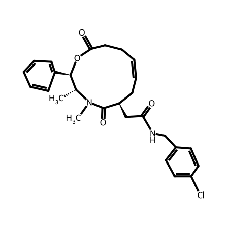 C[C@@H]1[C@@H](c2ccccc2)OC(=O)CCC=CC[C@@H](CC(=O)NCc2ccc(Cl)cc2)C(=O)N1C